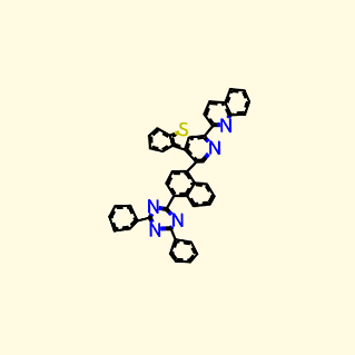 c1ccc(-c2nc(-c3ccccc3)nc(-c3ccc(-c4cnc(-c5ccc6ccccc6n5)c5sc6ccccc6c45)c4ccccc34)n2)cc1